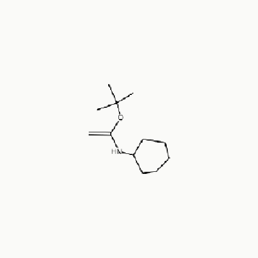 C=C(NC1CCCCC1)OC(C)(C)C